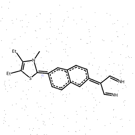 CCC1=C(CC)N(C)/C(=c2/ccc3cc(=C(C=N)C=N)ccc3c2)S1